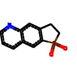 O=S1(=O)CCc2cc3ncccc3cc21